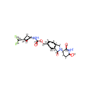 O=C1CCC(N2Cc3ccc(COC(=O)NC45CC(C(F)F)(C4)C5)cc3C2=O)C(=O)N1